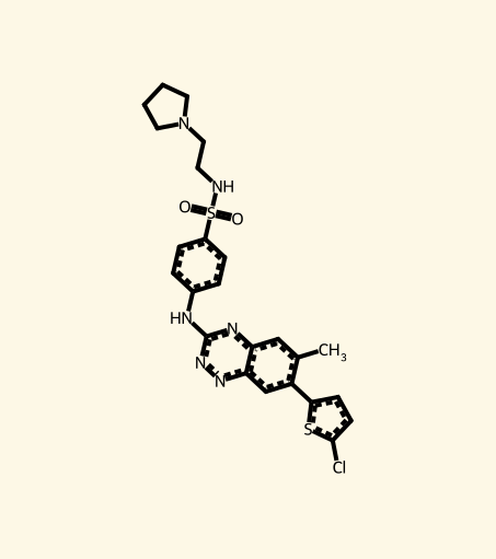 Cc1cc2nc(Nc3ccc(S(=O)(=O)NCCN4CCCC4)cc3)nnc2cc1-c1ccc(Cl)s1